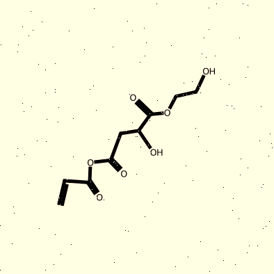 C=CC(=O)OC(=O)CC(O)C(=O)OCCO